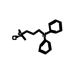 C[Si](C)(Cl)CCCN(c1ccccc1)c1ccccc1